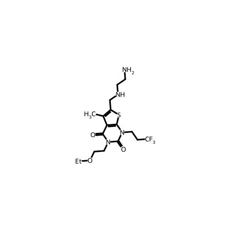 CCOCCn1c(=O)c2c(C)c(CNCCN)sc2n(CCC(F)(F)F)c1=O